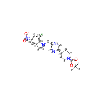 CC(C)(C)OC(=O)N1CC=C(c2cnc(Cn3ccc4cc([N+](=O)[O-])cc(F)c43)cn2)CC1